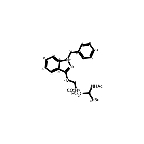 CCCCC(NC(C)=O)C(=O)O.O=C(O)COc1nn(Cc2ccccc2)c2ccccc12